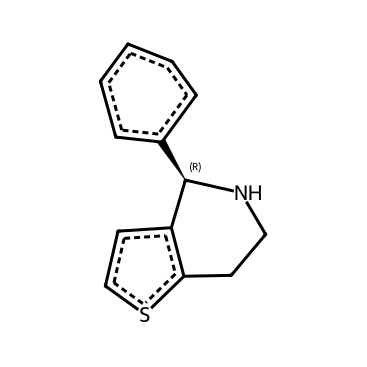 c1ccc([C@H]2NCCc3sccc32)cc1